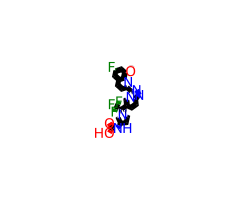 COc1cc(F)cc2ccc(-c3nnc4ccc([C@@H](N5CCC(NC(=O)O)C5)C(F)(F)F)cn34)nc12